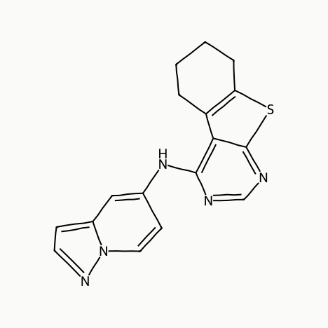 c1nc(Nc2ccn3nccc3c2)c2c3c(sc2n1)CCCC3